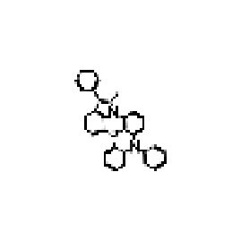 Cc1c(-c2ccccc2)c2cccc3c2n1c1cccc2c1-p3c1ccccc1n2-c1ccccc1